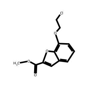 COC(=O)c1cc2cccc(OCCCl)c2o1